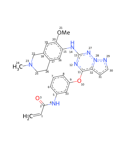 C=CC(=O)Nc1cccc(Oc2nc(Nc3cc4c(cc3OC)CN(C)CC4)nn3nccc23)c1